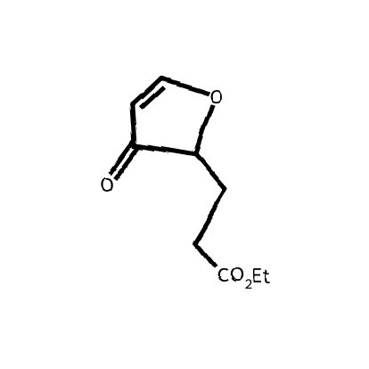 CCOC(=O)CCC1OC=CC1=O